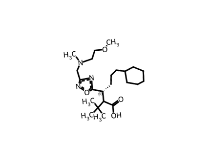 COCCN(C)Cc1noc([C@H](CCCC2CCCCC2)C(C(=O)O)C(C)(C)C)n1